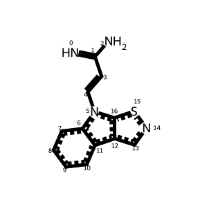 N=C(N)/C=C/n1c2ccccc2c2cnsc21